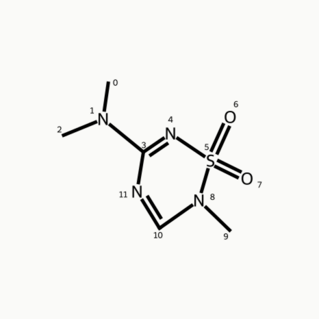 CN(C)C1=NS(=O)(=O)N(C)C=N1